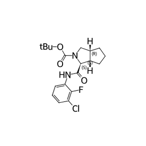 CC(C)(C)OC(=O)N1C[C@@H]2CCC[C@@H]2[C@H]1C(=O)Nc1cccc(Cl)c1F